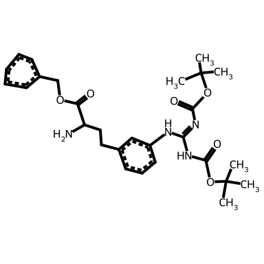 CC(C)(C)OC(=O)/N=C(/NC(=O)OC(C)(C)C)Nc1cccc(CCC(N)C(=O)OCc2ccccc2)c1